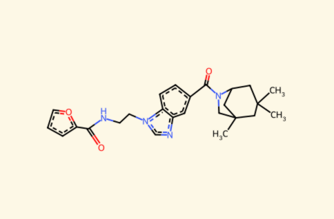 CC1(C)CC2CC(C)(CN2C(=O)c2ccc3c(c2)ncn3CCNC(=O)c2ccco2)C1